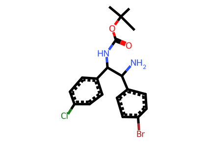 CC(C)(C)OC(=O)NC(c1ccc(Cl)cc1)C(N)c1ccc(Br)cc1